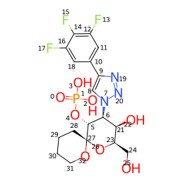 O=P(O)(O)O[C@@H]1[C@@H](n2cc(-c3cc(F)c(F)c(F)c3)nn2)[C@@H](O)[C@@H](CO)O[C@@]12CCCCO2